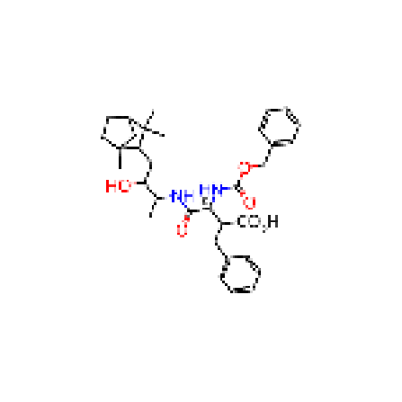 CC(NC(=O)[C@@H](NC(=O)OCc1ccccc1)C(Cc1ccccc1)C(=O)O)C(O)CC1C2(C)CCC(C2)C1(C)C